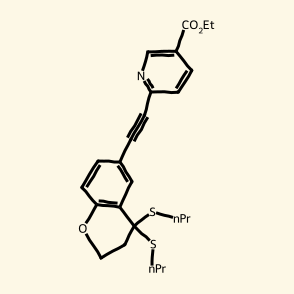 CCCSC1(SCCC)CCOc2ccc(C#Cc3ccc(C(=O)OCC)cn3)cc21